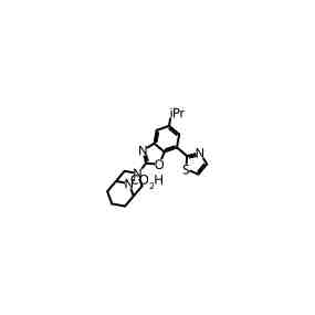 CC(C)c1cc(-c2nccs2)c2oc(N3CC4CCCC(C3)N4C(=O)O)nc2c1